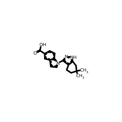 CC1(C)CCc2c(-n3ccc4cc(C(=O)O)ccc43)n[nH]c2C1